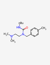 CCCCNC(=O)N(CCN(C)C)Cc1ccc(C)cc1